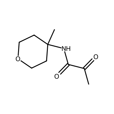 CC(=O)C(=O)NC1(C)CCOCC1